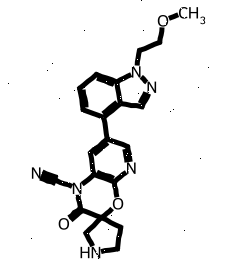 COCCn1ncc2c(-c3cnc4c(c3)N(C#N)C(=O)C3(CCNC3)O4)cccc21